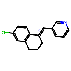 Clc1ccc2c(c1)CCC/C2=C\c1cccnc1